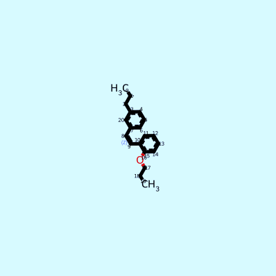 C[CH]Cc1cccc(/C=C\c2ccccc2OCCC)c1